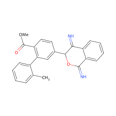 COC(=O)c1ccc(C2OC(=N)c3ccccc3C2=N)cc1-c1ccccc1C